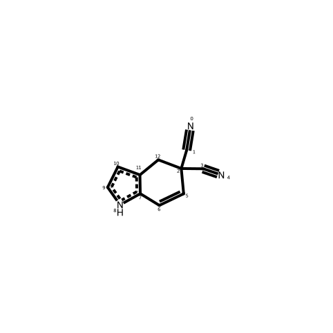 N#CC1(C#N)C=Cc2[nH]ccc2C1